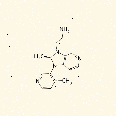 Cc1ccncc1N1c2ccncc2N(CCN)[C@@H]1C